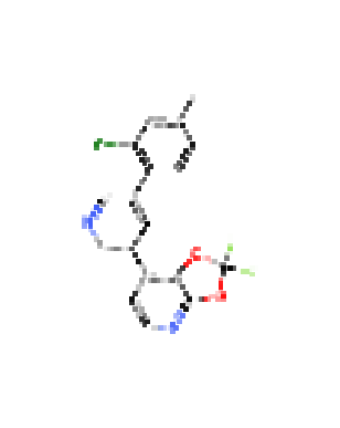 Cc1ccc(-c2cncc(-c3ccnc4c3OC(F)(F)O4)c2)c(Cl)c1